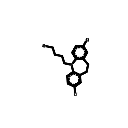 Clc1ccc2c(c1)CCc1cc(Cl)ccc1N2CCCCBr